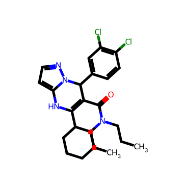 CCCN(CCC)C(=O)C1=C(C2CCCCC2)Nc2ccnn2C1c1ccc(Cl)c(Cl)c1